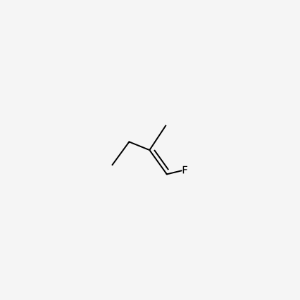 CCC(C)=CF